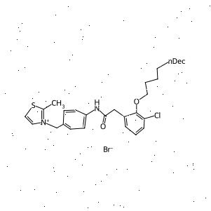 CCCCCCCCCCCCCCOc1c(Cl)cccc1CC(=O)Nc1ccc(C[n+]2ccsc2C)cc1.[Br-]